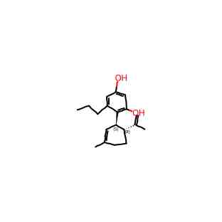 C=C(C)[C@@H]1CCC(C)=C[C@H]1c1c(O)cc(O)cc1CCC